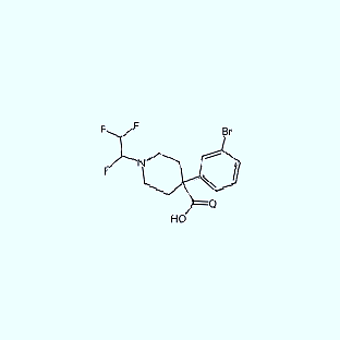 O=C(O)C1(c2cccc(Br)c2)CCN(C(F)C(F)F)CC1